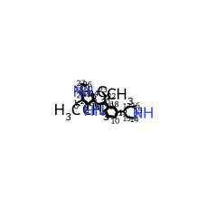 CCc1c(C)c(-c2[nH]c3ccc(C4CCNCC4)cc3c2C(C)C)cn2ccnc12